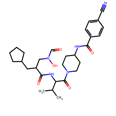 CC(C)C(NC(=O)C(CC1CCCC1)CN(O)C=O)C(=O)N1CCC(NC(=O)c2ccc(C#N)cc2)CC1